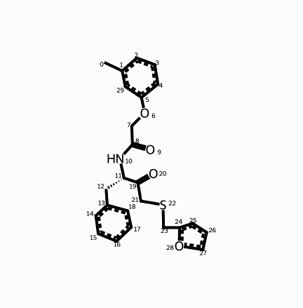 Cc1cccc(OCC(=O)N[C@@H](Cc2ccccc2)C(=O)CSCc2ccco2)c1